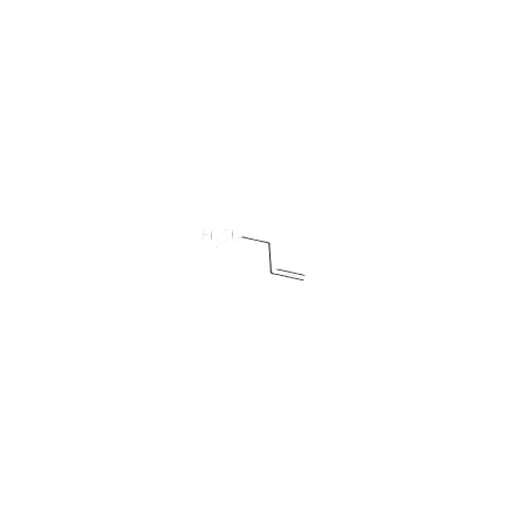 C=C[CH2][SbH2]